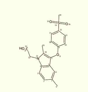 Cc1ccc2c(c1)c(Oc1ccc(S(C)(=O)=O)cc1)c(C)n2CC(=O)O